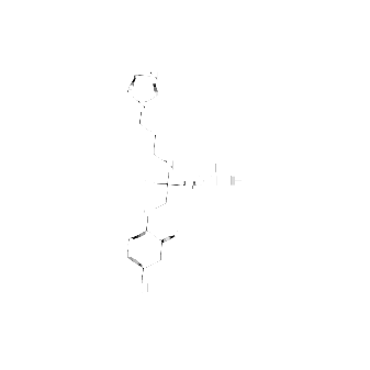 CC1=CC=C(OCC(C)(C)NCCCn2ccnc2)C(=S)C1.Cl.Cl.O